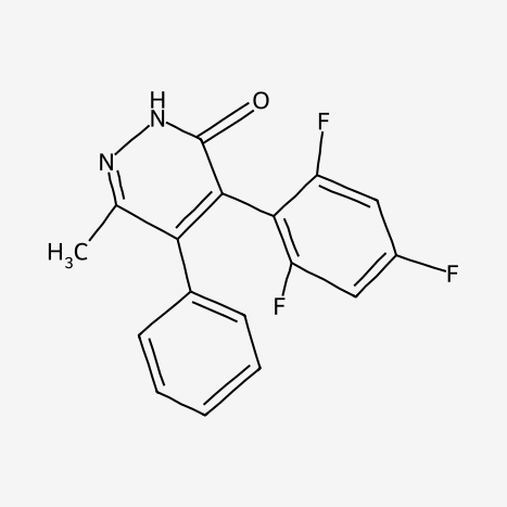 Cc1n[nH]c(=O)c(-c2c(F)cc(F)cc2F)c1-c1ccccc1